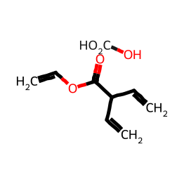 C=COC(=O)C(C=C)C=C.O=C(O)O